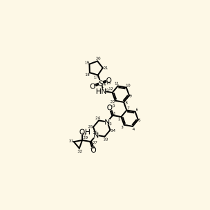 O=C(c1ccccc1-c1cccc(NS(=O)(=O)C2CCCC2)c1)N1CCN(C(=O)C2(O)CC2)CC1